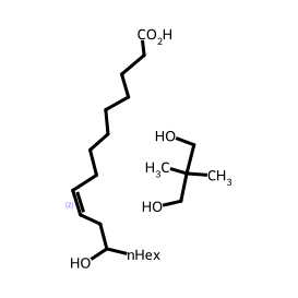 CC(C)(CO)CO.CCCCCCC(O)C/C=C\CCCCCCCC(=O)O